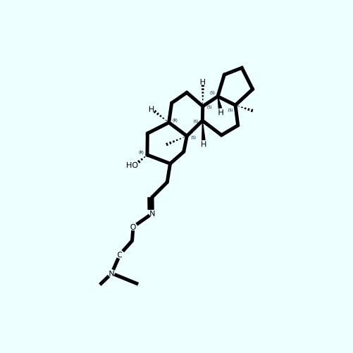 CN(C)CCON=CCC1C[C@@]2(C)[C@H](CC[C@H]3[C@@H]4CCC[C@@]4(C)CC[C@@H]32)C[C@H]1O